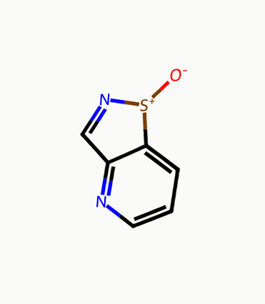 [O-][s+]1ncc2ncccc21